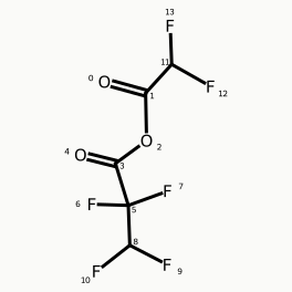 O=C(OC(=O)C(F)(F)C(F)F)C(F)F